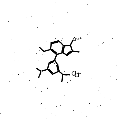 CCc1ccc2c(c1-c1cc(C(C)C)cc(C(C)C)c1)C=C(C)[CH]2[Zr+2].[Cl-].[Cl-]